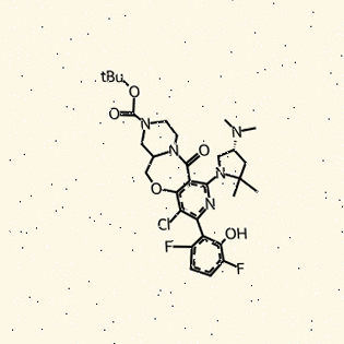 CN(C)[C@H]1CN(c2nc(-c3c(F)ccc(F)c3O)c(Cl)c3c2C(=O)N2CCN(C(=O)OC(C)(C)C)CC2CO3)C(C)(C)C1